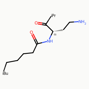 CCC(C)CCCCC(=O)N[C@@H](CCN)C(=O)C(C)C